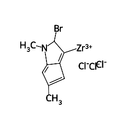 CC1=CC2=[C]([Zr+3])C(Br)N(C)C2=C1.[Cl-].[Cl-].[Cl-]